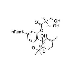 CCCCCc1cc(OC(=O)C(C)(CO)CO)c2c(c1)OC(C)(C)[C@@H]1CCC(C)=C[C@@]21O